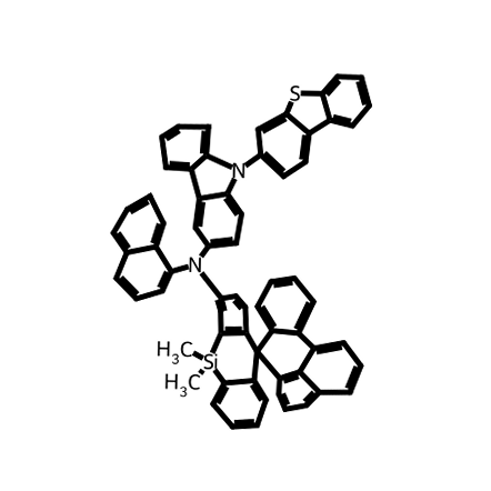 C[Si]1(C)c2ccccc2C2(c3ccccc3-c3cccc4cccc2c34)c2ccc(N(c3ccc4c(c3)c3ccccc3n4-c3ccc4c(c3)sc3ccccc34)c3cccc4ccccc34)cc21